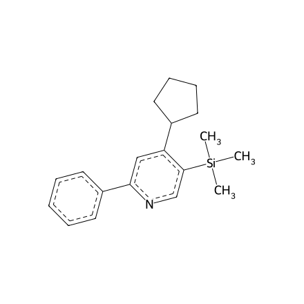 C[Si](C)(C)c1cnc(-c2ccccc2)cc1C1CCCC1